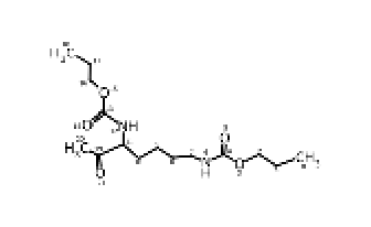 CCCOC(=O)NCCCCC(NC(=O)OCCC)C(C)=O